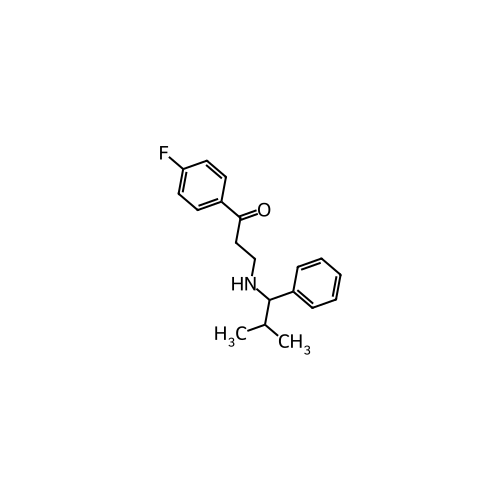 CC(C)C(NCCC(=O)c1ccc(F)cc1)c1ccccc1